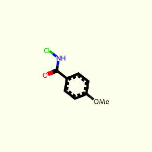 COc1ccc(C(=O)NCl)cc1